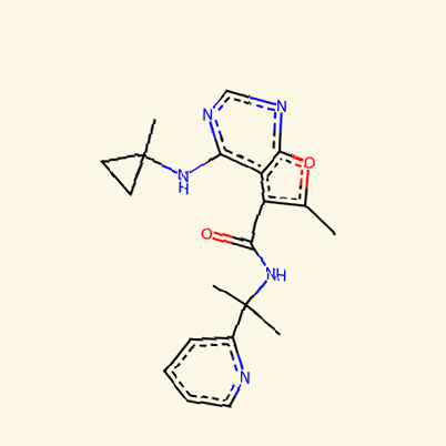 Cc1oc2ncnc(NC3(C)CC3)c2c1C(=O)NC(C)(C)c1ccccn1